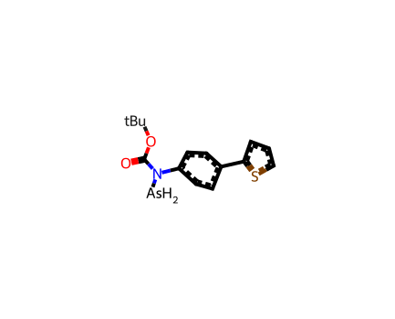 CC(C)(C)OC(=O)N([AsH2])c1ccc(-c2cccs2)cc1